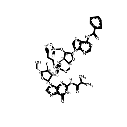 CC(C)C(=O)Nc1nc2c(ncn2[C@@H]2O[C@H](CO)[C@@H](F)[C@H]2OP(=S)(OCCC#N)OC[C@H]2O[C@@H](n3cnc4c(NC(=O)c5ccccc5)ncnc43)[C@H](O[PH](=O)O)[C@@H]2N=[N+]=[N-])c(=O)[nH]1